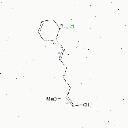 C/C=C(\CCC/C=C/[C@@H]1CC=CC[C@@H]1Cl)OC